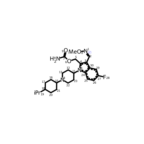 CO/N=C\c1c(COC(N)=O)n(C2CCN(C3CCC(C(C)C)CC3)CC2)c2ccc(F)cc12